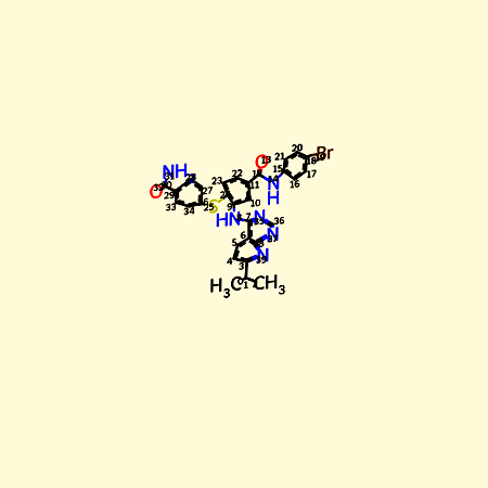 CC(C)c1ccc2c(Nc3cc(C(=O)Nc4ccc(Br)cc4)ccc3Sc3ccc(C(N)=O)cc3)ncnc2n1